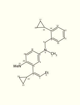 CC/C=C(\c1cc(N(C)Cc2ccccc2C2CC2)ccc1NC)C1CC1